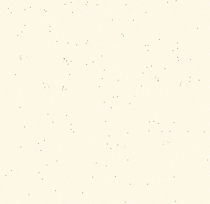 CCC(C)N(Cc1ccc(-c2noc(C(F)(F)F)n2)cc1)C(=O)CC(C)CC(C)=O